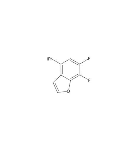 CC(C)c1cc(F)c(F)c2occc12